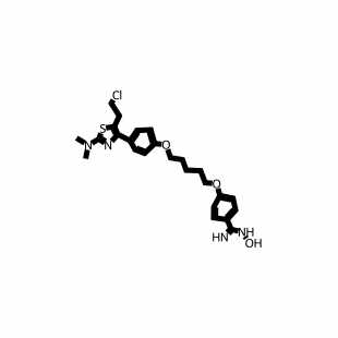 CN(C)c1nc(-c2ccc(OCCCCCOc3ccc(C(=N)NO)cc3)cc2)c(CCCl)s1